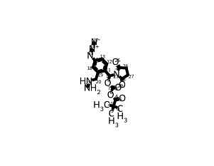 CC(C)(C)C(=O)OC(=O)OC(c1ccc(N=[N+]=[N-])cc1CNN)N1C(=O)CCC1=O